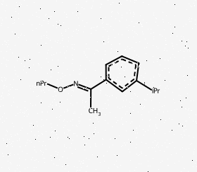 CCCO/N=C(\C)c1cccc(C(C)C)c1